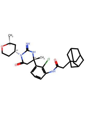 C[C@@H]1C[C@H](N2C(=N)N[C@](C)(c3cccc(NC(=O)CC45CC6CC(CC(C6)C4)C5)c3Cl)CC2=O)CCO1